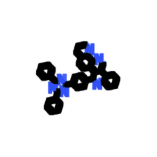 c1ccc(-c2nc(-c3ccccc3)nc(-c3ccc(-c4nc5ccccc5c5cnc6c(ccc7cccnc76)c45)cc3)n2)cc1